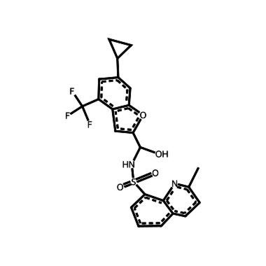 Cc1ccc2cccc(S(=O)(=O)NC(O)c3cc4c(C(F)(F)F)cc(C5CC5)cc4o3)c2n1